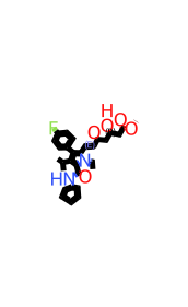 CCn1c(/C=C/C(=O)C[C@@H](O)CC(=O)OC)c(-c2ccc(F)cc2)c(C(C)C)c1C(=O)Nc1ccccc1